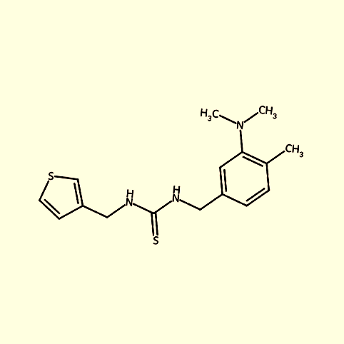 Cc1ccc(CNC(=S)NCc2ccsc2)cc1N(C)C